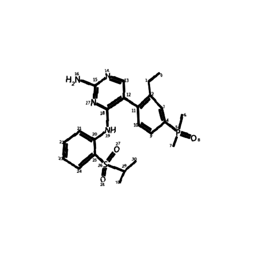 CCc1cc(P(C)(C)=O)ccc1-c1cnc(N)nc1Nc1ccccc1S(=O)(=O)C(C)C